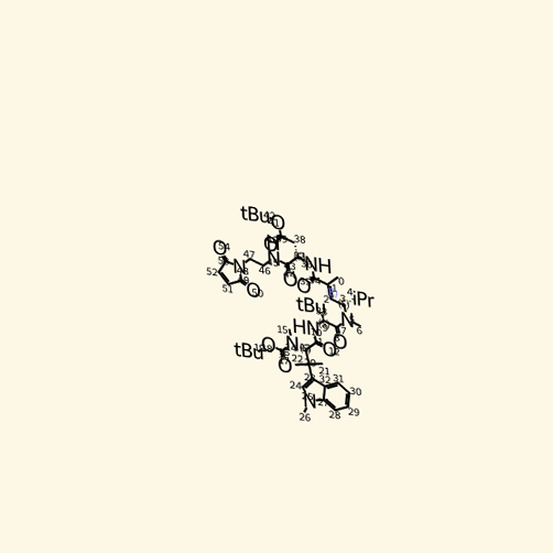 C/C(=C\[C@H](C(C)C)N(C)C(=O)[C@@H](NC(=O)[C@@H](N(C)C(=O)OC(C)(C)C)C(C)(C)c1cn(C)c2ccccc12)C(C)(C)C)C(=O)N[C@@H](CC(=O)OC(C)(C)C)C(=O)NCCN1C(=O)C=CC1=O